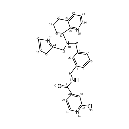 O=C(NCc1cccc(CN(CC2=NC=CC2)C2CCCc3cccnc32)c1)c1ccnc(Cl)c1